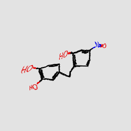 O=Nc1ccc(Cc2ccc(O)c(O)c2)c(O)c1